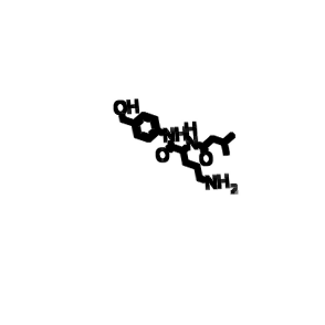 CC(C)CC(=O)NC(CCCN)C(=O)Nc1ccc(CO)cc1